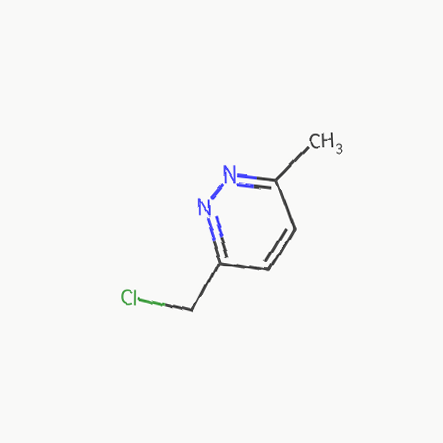 Cc1ccc(CCl)nn1